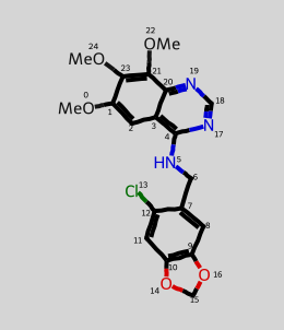 COc1cc2c(NCc3cc4c(cc3Cl)OCO4)ncnc2c(OC)c1OC